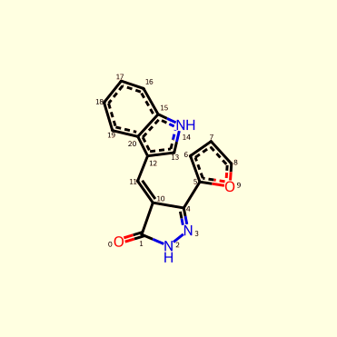 O=C1NN=C(c2ccco2)C1=Cc1c[nH]c2ccccc12